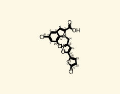 O=C(O)c1cc2cc(Cl)cc(Cl)c2n1Cc1cc(-c2ccc(Cl)s2)on1